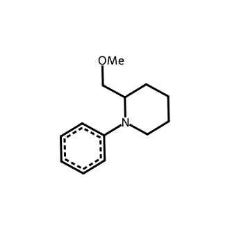 COCC1CCCCN1c1ccccc1